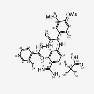 COc1cc(F)c(C(Nc2ccc(C(=N)N)cc2)C(=O)NNC(=O)c2ccncc2F)cc1OC.O=C(O)C(F)(F)F